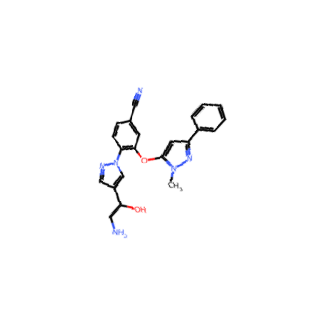 Cn1nc(-c2ccccc2)cc1Oc1cc(C#N)ccc1-n1cc(C(O)CN)cn1